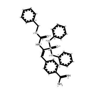 N=C(N)c1ccc(/C=C(/NC(=O)OCc2ccccc2)P(=O)(Oc2ccccc2)Oc2ccccc2)cc1